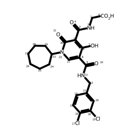 O=C(O)CNC(=O)c1c(O)c(C(=O)NCc2ccc(Cl)c(Cl)c2)cn(C2CCCCCC2)c1=O